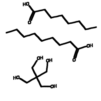 CCCCCCCC(=O)O.CCCCCCCCC(=O)O.OCC(CO)(CO)CO